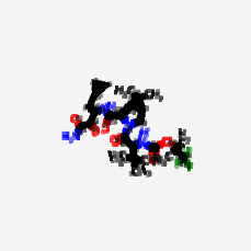 CC(C)(C)C(NC(=O)OC(C)(C)C(F)(F)F)C(=O)N1CC2C(C1C(=O)NC(CC1CC1)C(=O)C(N)=O)C2(C)C